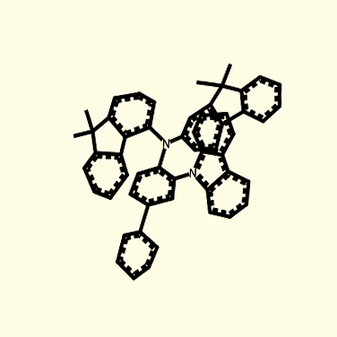 CC1(C)c2ccccc2-c2ccc(N(c3ccc(-c4ccccc4)cc3-n3c4ccccc4c4ccccc43)c3cccc4c3-c3ccccc3C4(C)C)cc21